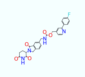 O=C1CCC(N2Cc3ccc(CNC(=O)OCc4ccnc(-c5ccc(F)cc5)c4)cc3C2=O)C(=O)N1